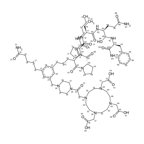 CCCCNC(=O)N=CC(CSCc1cc(CSCCC(N)=O)cc(CN2CCN(C(=O)CN3CCN(CC(=O)O)CCN(CC(=O)O)CCN(CC(=O)O)CC3)CC2)c1)C(=O)N1CCC[C@H]1C(=O)N1CCC[C@H]1C(=O)N[C@@H](CC)C(=O)N[C@@H](CCC(N)=O)C(O)N[C@@H](Cc1ccccc1)C(N)=O